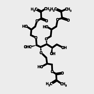 C=C(C)C(=O)OCC(O)CO[C@@H]([C@H](OCC(O)COC(=O)C(=C)C)[C@H](C=O)OCC(O)COC(=O)C(=C)C)[C@H](O)CO